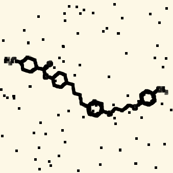 Cc1ccc(OCCCOc2ccc(CCCCC3CCC(OC(=O)C4CCC(C)CC4)CC3)cc2)cc1